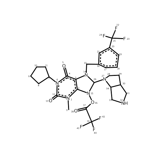 Cn1c2c(c(=O)n(C3CCCC3)c1=O)N(Cc1cccc(C(F)(F)F)c1)C(N1CCC3CNCC31)N2OC(=O)C(F)(F)F